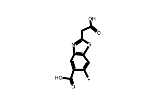 O=C(O)Cc1nc2cc(C(=O)O)c(F)cc2s1